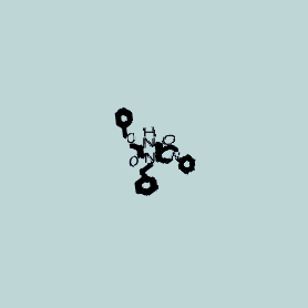 O=C1C(COCc2ccccc2)NC(=O)C2(CCN(c3ccccc3)CC2)N1CCc1ccccc1